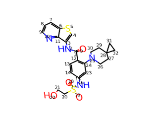 O=C(Nc1csc2cccnc12)c1ccc(NS(=O)(=O)CCO)cc1N1CCC2(CC1)CC2